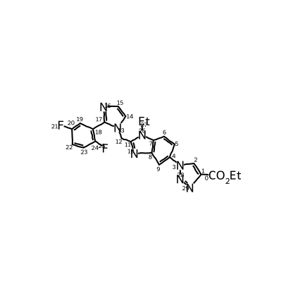 CCOC(=O)c1cn(-c2ccc3c(c2)nc(Cn2ccnc2-c2cc(F)ccc2F)n3CC)nn1